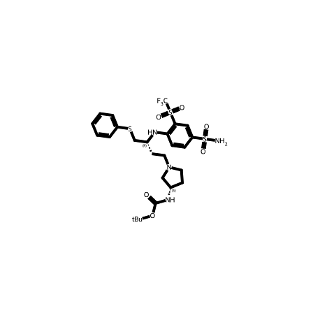 CC(C)(C)OC(=O)N[C@H]1CCN(CC[C@H](CSc2ccccc2)Nc2ccc(S(N)(=O)=O)cc2S(=O)(=O)C(F)(F)F)C1